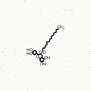 CCCCCCCCCCCCCCCC(=O)OC1Cc2c(O)cc(O)cc2OC1c1ccc(O)c(O)c1